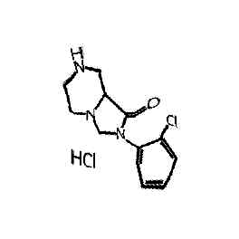 Cl.O=C1C2CNCCN2CN1c1ccccc1Cl